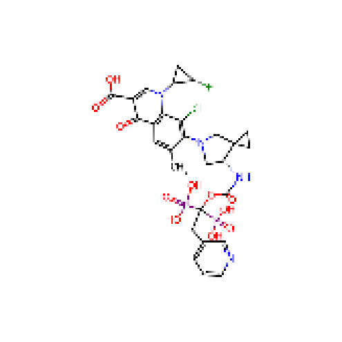 Cc1cc2c(=O)c(C(=O)O)cn(C3C[C@@H]3F)c2c(Cl)c1N1C[C@@H](NC(=O)OC(Cc2cccnc2)(P(=O)(O)O)P(=O)(O)O)C2(CC2)C1